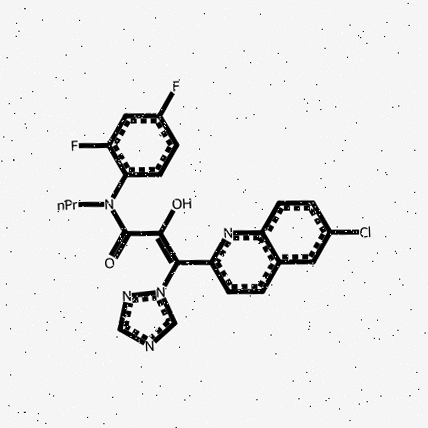 CCCN(C(=O)C(O)=C(c1ccc2cc(Cl)ccc2n1)n1cncn1)c1ccc(F)cc1F